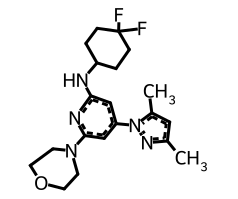 Cc1cc(C)n(-c2cc(NC3CCC(F)(F)CC3)nc(N3CCOCC3)c2)n1